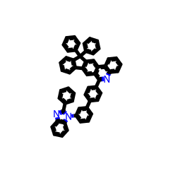 c1ccc(-c2nc3ccccc3n2-c2cccc(-c3ccc(-c4nc5ccccc5c5cc6c(cc45)-c4ccccc4C6(c4ccccc4)c4ccccc4)cc3)c2)cc1